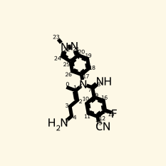 C/C(=C\CCN)N(C(=N)c1ccc(C#N)c(F)c1)c1ccc2nn(C)cc2c1